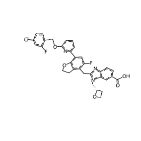 O=C(O)c1ccc2nc(Cc3c(F)cc(-c4cccc(OCc5ccc(Cl)cc5F)n4)c4c3CCO4)n(C[C@@H]3CCO3)c2c1